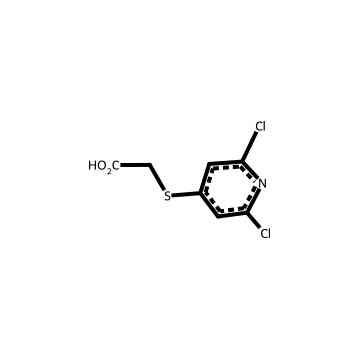 O=C(O)CSc1cc(Cl)nc(Cl)c1